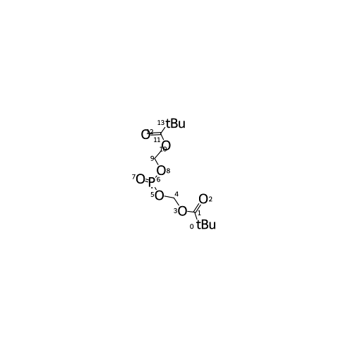 CC(C)(C)C(=O)OCO[P](=O)OCOC(=O)C(C)(C)C